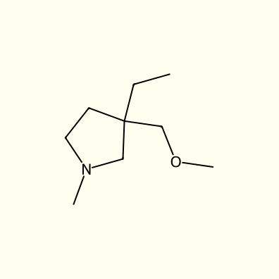 CCC1(COC)CCN(C)C1